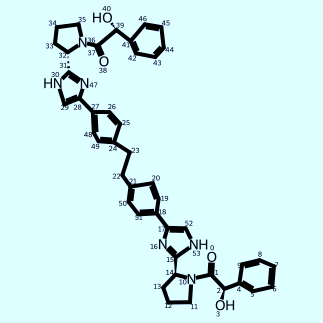 O=C([C@H](O)c1ccccc1)N1CCC[C@H]1c1nc(-c2ccc(CCc3ccc(-c4c[nH]c([C@@H]5CCCN5C(=O)[C@H](O)c5ccccc5)n4)cc3)cc2)c[nH]1